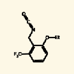 CCOc1cccc(C(F)(F)F)c1CN=C=O